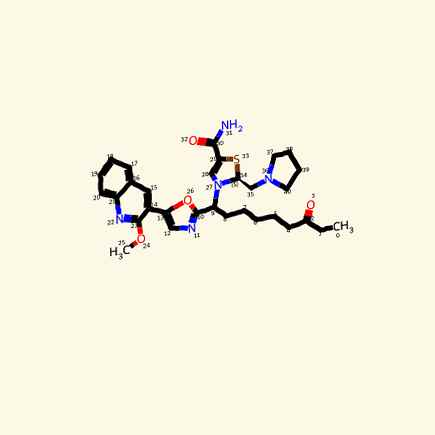 CCC(=O)CCCCCC(c1ncc(-c2cc3ccccc3nc2OC)o1)N1C=C(C(N)=O)S[C@H]1CN1CCCC1